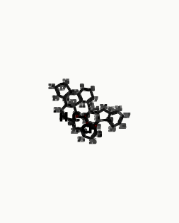 Cc1cc2c(c(-c3ccccc3-c3c(-c4ccccc4)ccc4cc5ccccc5cc34)c1C)Cc1ccccc1-2